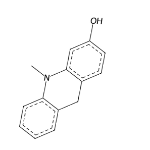 CN1c2ccccc2Cc2ccc(O)cc21